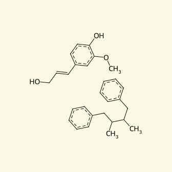 CC(Cc1ccccc1)C(C)Cc1ccccc1.COc1cc(/C=C/CO)ccc1O